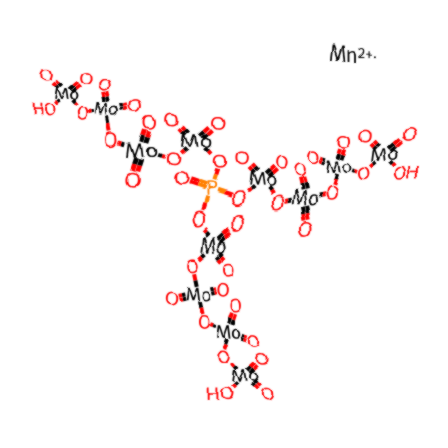 O=P([O][Mo](=[O])(=[O])[O][Mo](=[O])(=[O])[O][Mo](=[O])(=[O])[O][Mo](=[O])(=[O])[OH])([O][Mo](=[O])(=[O])[O][Mo](=[O])(=[O])[O][Mo](=[O])(=[O])[O][Mo](=[O])(=[O])[OH])[O][Mo](=[O])(=[O])[O][Mo](=[O])(=[O])[O][Mo](=[O])(=[O])[O][Mo](=[O])(=[O])[OH].[Mn+2]